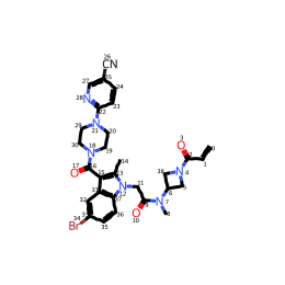 C=CC(=O)N1CC(N(C)C(=O)Cn2c(C)c(C(=O)N3CCN(c4ccc(C#N)cn4)CC3)c3cc(Br)ccc32)C1